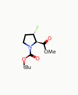 COC(=O)[C@@H]1[C@@H](F)CCN1C(=O)OC(C)(C)C